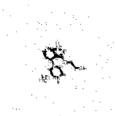 Cl.Cl.OCCOc1n[nH]c2nccc(N3CCNCC3)c12